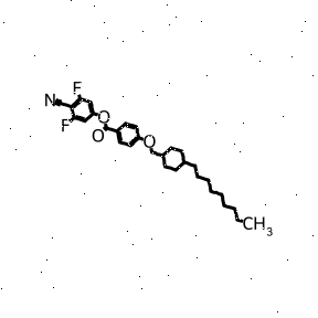 CCCCCCCCCC1CCC(COc2ccc(C(=O)Oc3cc(F)c(C#N)c(F)c3)cc2)CC1